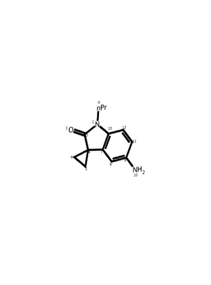 CCCN1C(=O)C2(CC2)c2cc(N)ccc21